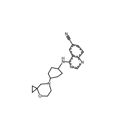 N#Cc1ccc2ncnc(NC3CCC(N4CCOC5(CC5)C4)CC3)c2c1